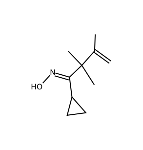 C=C(C)C(C)(C)/C(=N/O)C1CC1